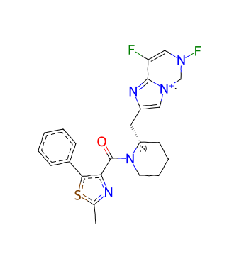 Cc1nc(C(=O)N2CCCC[C@H]2CC2=C[N+]3CN(F)C=C(F)C3=N2)c(-c2ccccc2)s1